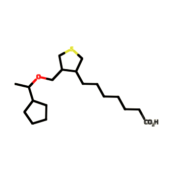 CC(OCC1CSCC1CCCCCCC(=O)O)C1CCCC1